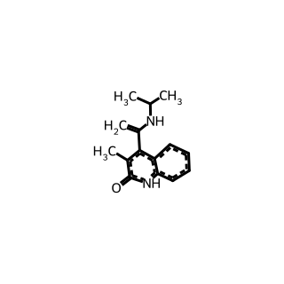 C=C(NC(C)C)c1c(C)c(=O)[nH]c2ccccc12